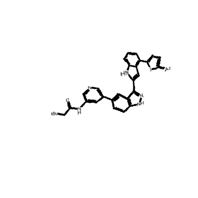 CC(=O)c1ccc(-c2cccc3[nH]c(-c4n[nH]c5ccc(-c6cncc(NC(=O)CC(C)(C)C)c6)cc45)cc23)s1